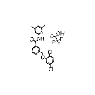 Cc1cc(C)nc(NC(=O)c2cccc(COc3cc(Cl)ccc3Cl)c2)c1.O=C(O)C(F)(F)F